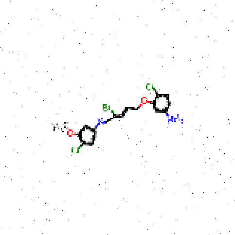 COc1cc(/N=C/C(Br)/C=C/COc2cc(N)ccc2Cl)ccc1Cl